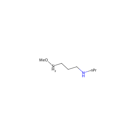 CCCNCCC[SiH2]OC